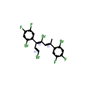 C\C(=C/C(Br)=C(\C=C\Br)c1cc(F)c(F)cc1Br)c1cc(F)c(F)cc1Br